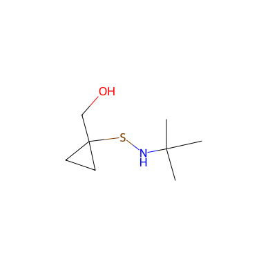 CC(C)(C)NSC1(CO)CC1